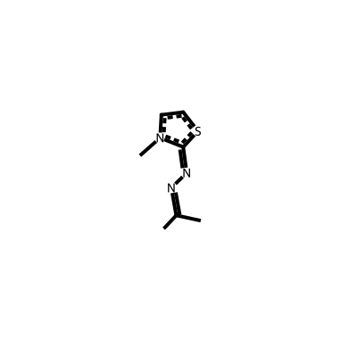 CC(C)=NN=c1sccn1C